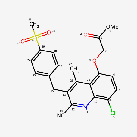 COC(=O)COc1ccc(Cl)c2nc(C#N)c(Cc3ccc(S(C)(=O)=O)cc3)c(C)c12